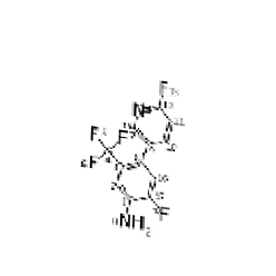 Nc1cc(C(F)(F)F)c(-c2ccc(F)nc2)cc1F